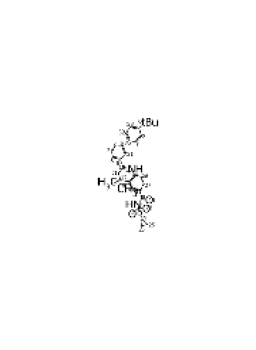 CC(C)(C)c1ccc(-c2cccc(C3CC(C)(C)c4cc(C(=O)NS(=O)(=O)C5CC5)ccc4N3)c2)cc1